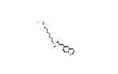 O=C(CCCCCCN1C(=O)S/C(=C\c2ccc3ncccc3c2)C1=O)NO